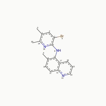 Cc1cc(Br)c(Nc2c(C)ccc3ncccc23)nc1C